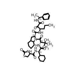 CCCC(NC(=O)[C@@H]1CC2CCCCC2N1C(=O)[C@@H](NC(=O)[C@@H](NC(=O)C1CSC(=O)N1)C1CCCCC1)C(C)(C)C)C(=O)C(=O)N[C@@H](C)c1ccccc1